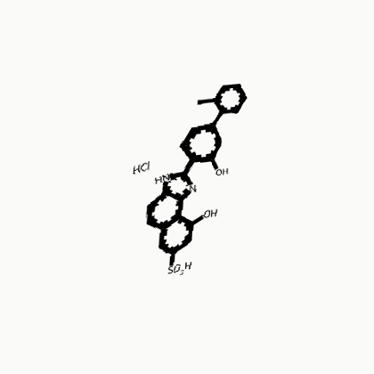 Cc1ccccc1-c1ccc(-c2nc3c(ccc4cc(S(=O)(=O)O)cc(O)c43)[nH]2)c(O)c1.Cl